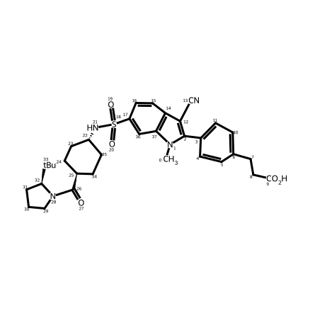 Cn1c(-c2ccc(CCC(=O)O)cc2)c(C#N)c2ccc(S(=O)(=O)N[C@H]3CC[C@H](C(=O)N4CCC[C@H]4C(C)(C)C)CC3)cc21